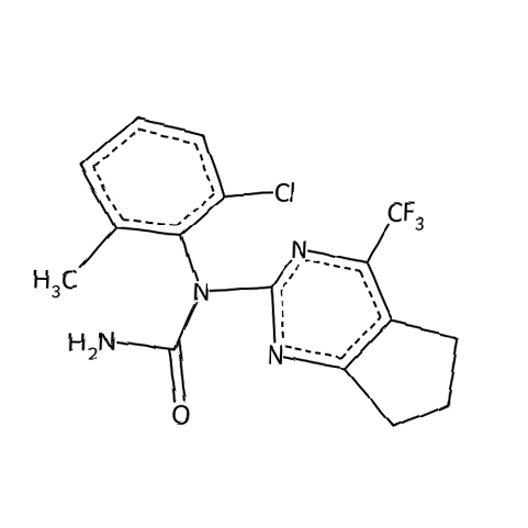 Cc1cccc(Cl)c1N(C(N)=O)c1nc2c(c(C(F)(F)F)n1)CCC2